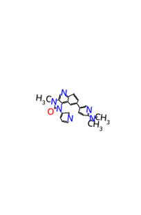 CN(C)c1ccc(-c2ccc3ncc4c(c3c2)n(-c2cccnc2)c(=O)n4C)cn1